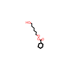 O=C(OOCCCCCCO)c1ccccc1